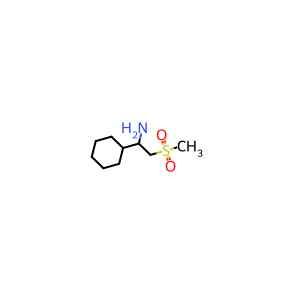 CS(=O)(=O)CC(N)C1CCCCC1